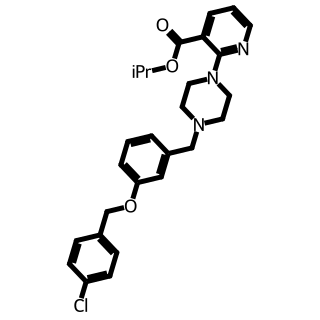 CC(C)OC(=O)c1cccnc1N1CCN(Cc2cccc(OCc3ccc(Cl)cc3)c2)CC1